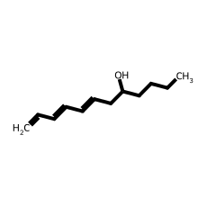 C=CC=CC=CCC(O)CCCC